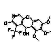 COc1cc(C)c(C(O)c2c(Cl)cnc(Cl)c2C(F)(F)F)c(OC)c1OC